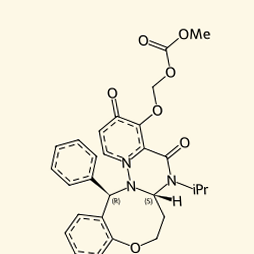 COC(=O)OCOc1c2n(ccc1=O)N1[C@H](c3ccccc3)c3ccccc3OCC[C@H]1N(C(C)C)C2=O